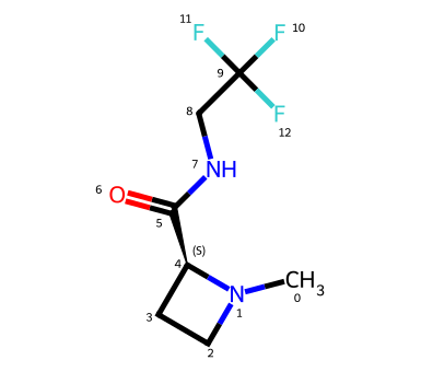 CN1CC[C@H]1C(=O)NCC(F)(F)F